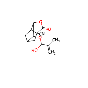 C=C(C)C(O)OC1C2CC3C1OC(=O)C3(C#N)C2